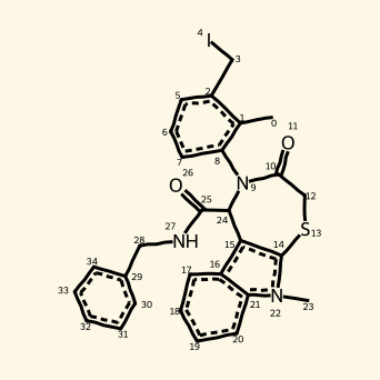 Cc1c(CI)cccc1N1C(=O)CSc2c(c3ccccc3n2C)C1C(=O)NCc1ccccc1